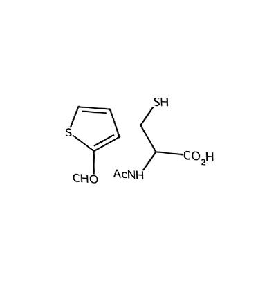 CC(=O)NC(CS)C(=O)O.O=Cc1cccs1